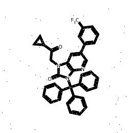 O=C(Cn1c(=O)n(C(c2ccccc2)(c2ccccc2)c2ccccc2)c2ncc(-c3cccc(C(F)(F)F)c3)cc21)C1CC1